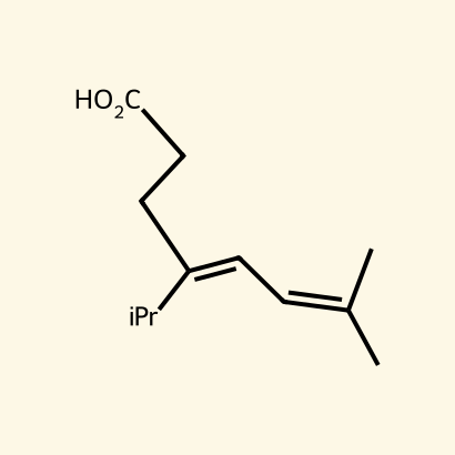 CC(C)=CC=C(CCC(=O)O)C(C)C